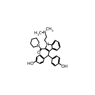 CN(C)CCn1c(C(=O)N2CCCCC2)c(C(c2ccc(O)cc2)c2ccc(O)cc2)c2ccccc21